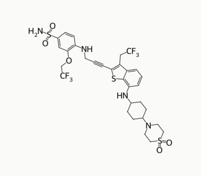 NS(=O)(=O)c1ccc(NCC#Cc2sc3c(NC4CCC(N5CCS(=O)(=O)CC5)CC4)cccc3c2CC(F)(F)F)c(OCC(F)(F)F)c1